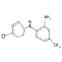 Nc1cc(C(F)(F)F)ccc1Nc1ccc(Cl)cc1